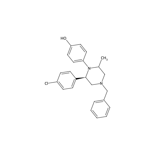 CC1CN(Cc2ccccc2)C[C@@H](c2ccc(Cl)cc2)N1c1ccc(O)cc1